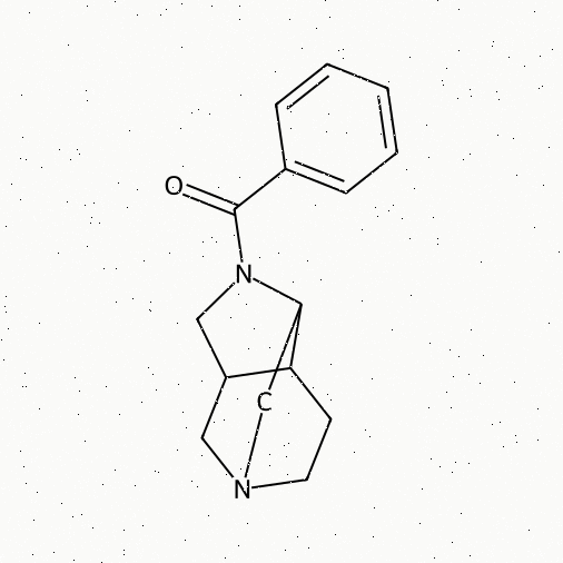 O=C(c1ccccc1)N1CC2CN3CCC2C1C3